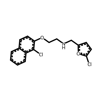 Clc1ccc(CNCCOc2ccc3ccccc3c2Cl)o1